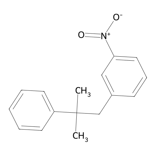 CC(C)(Cc1cccc([N+](=O)[O-])c1)c1ccccc1